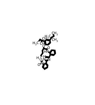 CCCCC(Oc1ccc(C(C)(C)CC)cc1C(C)(C)CC)C(=O)Nc1ccccc1-c1c[nH]c(-c2ccccc2[N+](=O)[O-])n1